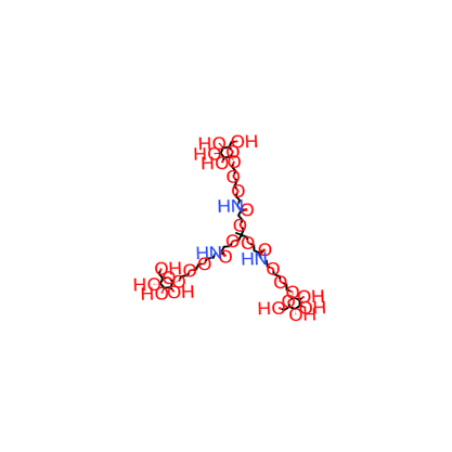 CC(COCCC(=O)NCCOCCOCCO[C@H]1OC(CO)[C@@H](O)C(O)C1O)(COCCC(=O)NCCOCCOCCO[C@H]1OC(CO)[C@@H](O)[C@H](O)C1O)COCCC(=O)NCCOCCOCCO[C@H]1OC(CO)[C@H](O)[C@H](O)C1O